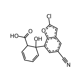 N#Cc1cc(C2(O)C=CC=CC2C(=O)O)c2oc(Cl)cc2c1